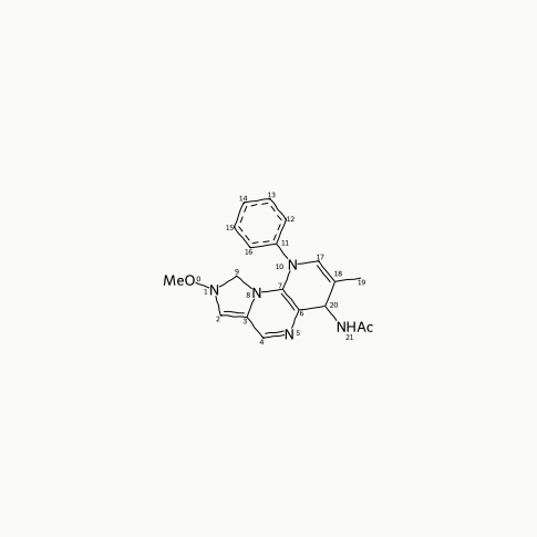 CON1C=C2C=NC3=C(N2C1)N(c1ccccc1)C=C(C)C3NC(C)=O